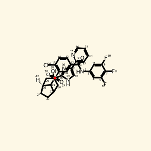 O=C(Nc1cc(F)c(F)c(F)c1)c1ccc(Cl)c(S(=O)(=O)C2C3CC[C@H]2C[C@](O)(c2nc(-c4ccccn4)c[nH]2)C3)c1